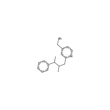 CC(C)Cc1ccnc(CC(C)C(C)c2ccccc2)c1